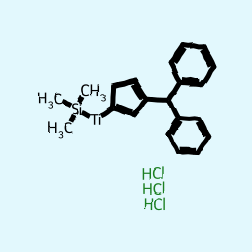 C[Si](C)(C)[Ti][C]1=CC(C(c2ccccc2)c2ccccc2)=CC1.Cl.Cl.Cl